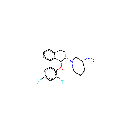 N[C@@H]1CCCN([C@H]2CCc3ccccc3[C@@H]2Oc2ccc(F)cc2F)C1